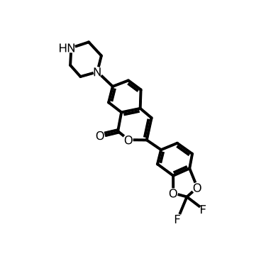 O=c1oc(-c2ccc3c(c2)OC(F)(F)O3)cc2ccc(N3CCNCC3)cc12